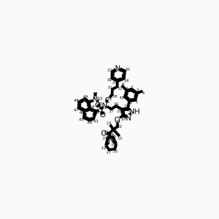 Cc1cc(C)cc(-c2[nH]nc(OCC(C)(C)C(=O)N3C4CCC3CC4)c2CCN(CCCCc2ccncc2)S(=O)(=O)c2cccc3cccc(N(C)C)c23)c1